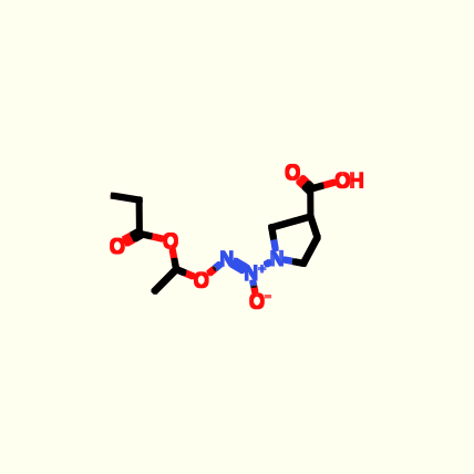 CCC(=O)OC(C)ON=[N+]([O-])N1CCC(C(=O)O)C1